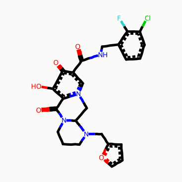 O=C(NCc1cccc(Cl)c1F)c1cn2c(c(O)c1=O)C(=O)N1CCCN(Cc3ccco3)C1C2